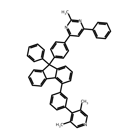 Cc1nc(-c2ccccc2)cc(-c2ccc(C3(c4ccccc4)c4ccccc4-c4c(-c5cccc(-c6c(C)cncc6C)c5)cccc43)cc2)n1